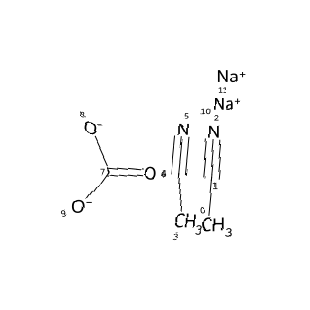 CC#N.CC#N.O=C([O-])[O-].[Na+].[Na+]